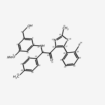 COc1cc(CO)cc(NC(C(=O)c2nc(C)sc2-c2ccccc2F)c2ccc(C)cc2)c1